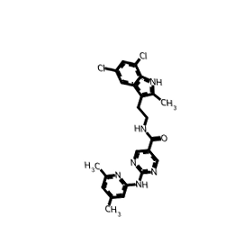 Cc1cc(C)nc(Nc2ncc(C(=O)NCCc3c(C)[nH]c4c(Cl)cc(Cl)cc34)cn2)c1